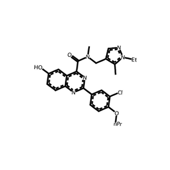 CCCOc1ccc(-c2nc(C(=O)N(C)Cc3cnn(CC)c3C)c3cc(O)ccc3n2)cc1Cl